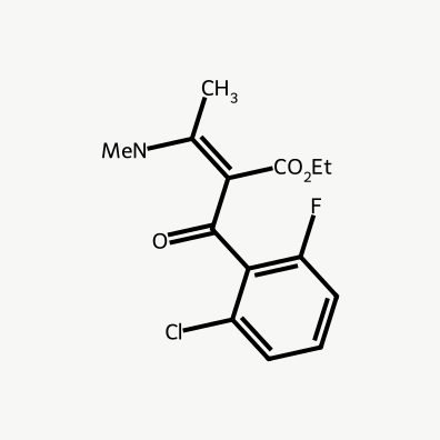 CCOC(=O)C(C(=O)c1c(F)cccc1Cl)=C(C)NC